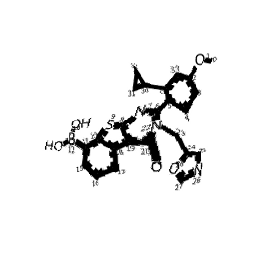 COc1ccc(-c2nc3sc4c(B(O)O)cccc4c3c(=O)n2Cc2cnco2)c(C2CC2)c1